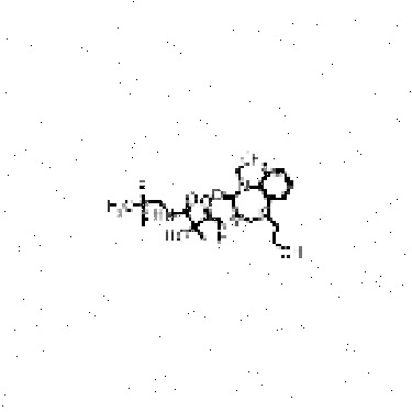 CC(O)(C(=O)NCC(F)(F)C(F)(F)F)C(=O)N[C@H]1CN(CCO)c2ccccc2N(CC(F)(F)F)C1=O